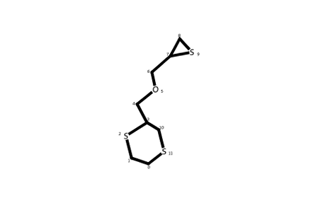 C1CSC(COCC2CS2)CS1